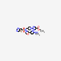 CCOC(=O)c1cnc(N2CCC(CN(N3CCOC(c4ccc(NC)nc4)C3)S(=O)(=O)c3cc4ncncc4s3)CC2)nc1